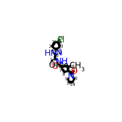 COC[C@H](NC(=O)c1ccc(C(=O)N2CC=CC2)c(C)c1)c1nc2cc(Cl)ccc2[nH]1